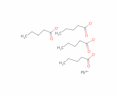 CCCCC(=O)[O-].CCCCC(=O)[O-].CCCCC(=O)[O-].CCCCC(=O)[O-].[Pb+4]